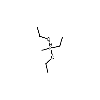 CCO[PH](C)(CC)OCC